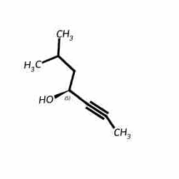 CC#C[C@@H](O)CC(C)C